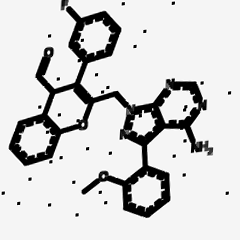 COc1ccccc1-c1nn(CC2=C(c3cccc(F)c3)C(C=O)c3ccccc3O2)c2ncnc(N)c12